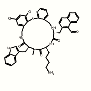 CN1C(=O)[C@H](CCCCN)NC(=O)[C@H](Cc2ccc3ccccc3c2C=O)NCc2cccnc2Sc2c(Cl)cc(Cl)cc2CNC(=O)[C@@H]1Cc1c[nH]c2ccccc12